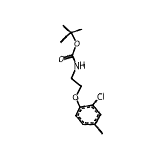 Cc1ccc(OCCNC(=O)OC(C)(C)C)c(Cl)c1